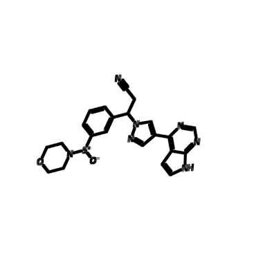 N#CCC(c1cccc([S+]([O-])N2CCOCC2)c1)n1cc(-c2ncnc3[nH]ccc23)cn1